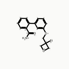 CCC1(COc2cccc(-c3ccccc3C(N)=O)c2)COC1